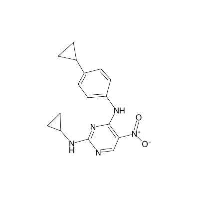 O=[N+]([O-])c1cnc(NC2CC2)nc1Nc1ccc(C2CC2)cc1